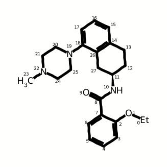 CCOc1ccccc1C(=O)N[C@@H]1CCc2cccc(N3CCN(C)CC3)c2C1